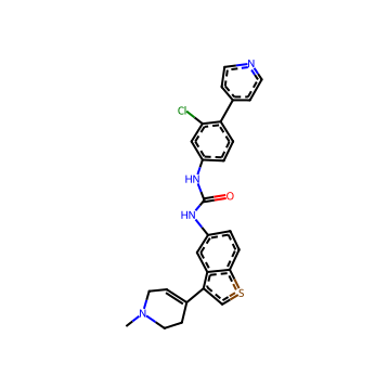 CN1CC=C(c2csc3ccc(NC(=O)Nc4ccc(-c5ccncc5)c(Cl)c4)cc23)CC1